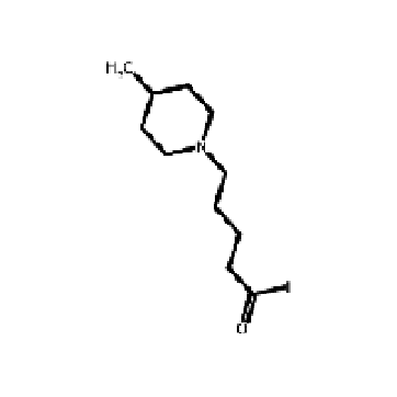 CC1CCN(CCCCC(=O)I)CC1